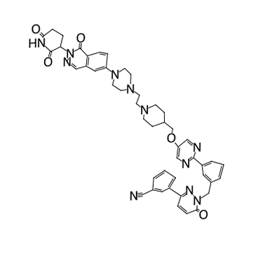 N#Cc1cccc(-c2ccc(=O)n(Cc3cccc(-c4ncc(OCC5CCN(CCN6CCN(c7ccc8c(=O)n(C9CCC(=O)NC9=O)ncc8c7)CC6)CC5)cn4)c3)n2)c1